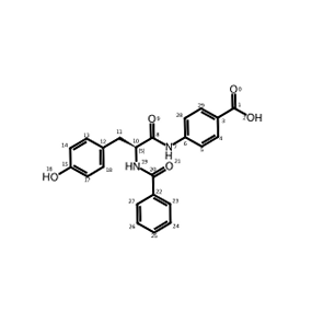 O=C(O)c1ccc(NC(=O)[C@H](Cc2ccc(O)cc2)NC(=O)c2ccccc2)cc1